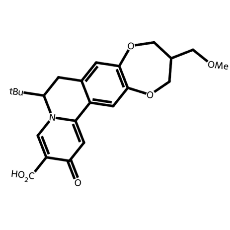 COCC1COc2cc3c(cc2OC1)-c1cc(=O)c(C(=O)O)cn1C(C(C)(C)C)C3